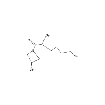 CC(C)C(CCCCC(C)(C)C)C(=O)N1CC(O)C1